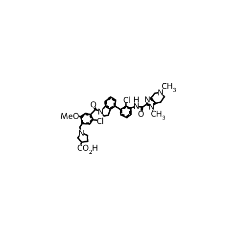 COc1cc(C(=O)N2CCc3c(-c4cccc(NC(=O)c5nc6c(n5C)CCN(C)C6)c4Cl)cccc32)c(Cl)cc1CN1CCC(C(=O)O)C1